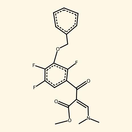 COC(=O)C(=CN(C)C)C(=O)c1cc(F)c(F)c(OCc2ccccc2)c1F